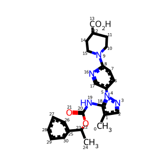 Cc1cnn(-c2ccc(N3CCC(C(=O)O)CC3)nc2)c1NC(=O)OC(C)c1ccccc1